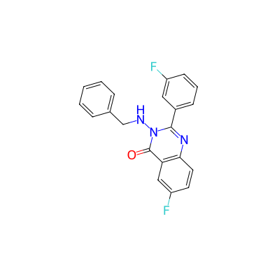 O=c1c2cc(F)ccc2nc(-c2cccc(F)c2)n1NCc1ccccc1